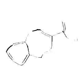 O=C(O)C1=CSc2ccccc2CN1